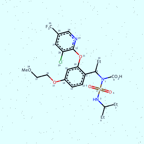 CCC(CC)NS(=O)(=O)N(C(=O)O)C(CC)c1ccc(OCCOC)cc1Oc1ncc(C(F)(F)F)cc1Cl